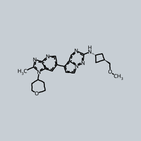 COC[C@H]1C[C@H](Nc2ncc3c(-c4cnc5nc(C)n(C6CCOCC6)c5c4)ccn3n2)C1